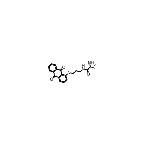 C[C@H](N)C(=O)NCCCNc1cccc2c1C(=O)c1ccccc1C2=O